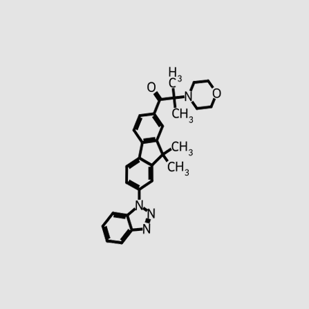 CC1(C)c2cc(C(=O)C(C)(C)N3CCOCC3)ccc2-c2ccc(-n3nnc4ccccc43)cc21